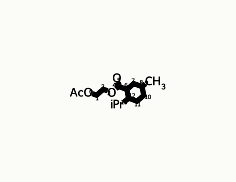 CC(=O)OCCOC(=O)C1CC(C)CCC1C(C)C